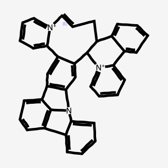 C1=C/[n+]2ccccc2-c2cc3c4cccc5c6ccccc6n(c3cc2C2C(C/1)c1ccccc1-c1cccc[n+]12)c54